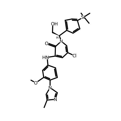 COc1cc(Nc2cc(Cl)cn([C@@H](CO)c3ccc([Si](C)(C)C)cc3)c2=O)ccc1-n1cnc(C)c1